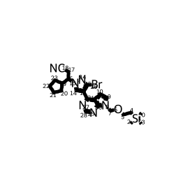 C[Si](C)(C)CCOCn1ccc2c(-c3cn(C(CC#N)C4CCCC4)nc3Br)ncnc21